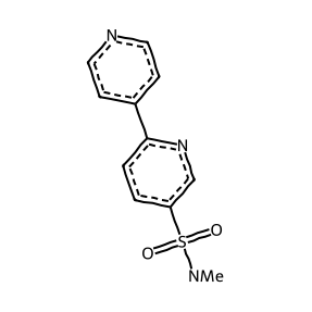 CNS(=O)(=O)c1ccc(-c2ccncc2)nc1